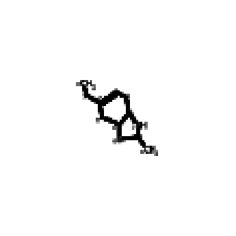 CCC1=CCC2NC(C)SC2C1